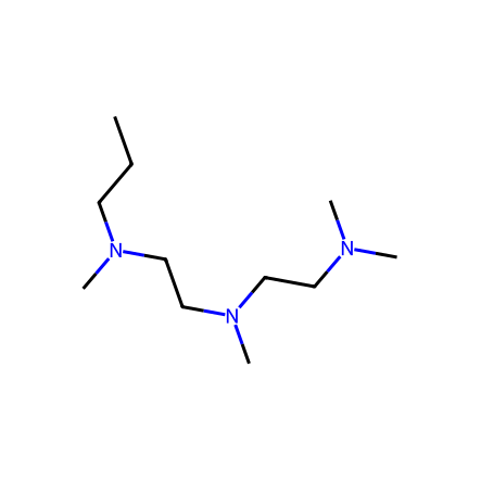 CCCN(C)CCN(C)CCN(C)C